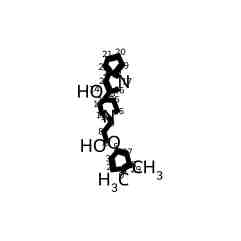 Cc1ccc(OC(O)CCN2CCC(O)(c3cnc4ccccc4c3)CC2)cc1C